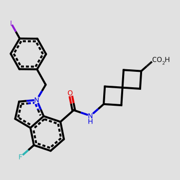 O=C(NC1CC2(C1)CC(C(=O)O)C2)c1ccc(F)c2ccn(Cc3ccc(I)cc3)c12